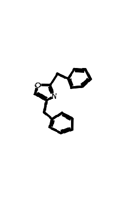 c1ccc(Cc2coc(Cc3ccccc3)n2)cc1